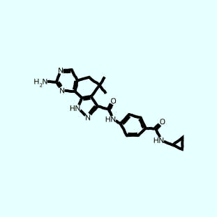 CC1(C)Cc2cnc(N)nc2-c2[nH]nc(C(=O)Nc3ccc(C(=O)NC4CC4)cc3)c21